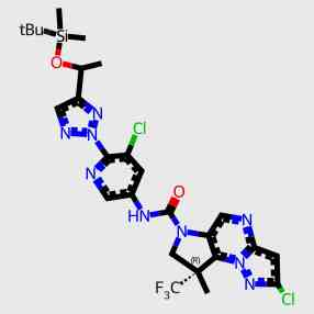 CC(O[Si](C)(C)C(C)(C)C)c1cnn(-c2ncc(NC(=O)N3C[C@@](C)(C(F)(F)F)c4c3cnc3cc(Cl)nn43)cc2Cl)n1